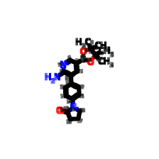 CC1(C)OB(c2cnc(N)c(-c3ccc(N4CCCC4=O)cc3)c2)OC1(C)C